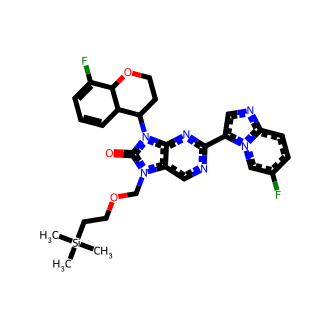 C[Si](C)(C)CCOCn1c(=O)n(C2CCOC3C(F)=CC=CC32)c2nc(-c3cnc4ccc(F)cn34)ncc21